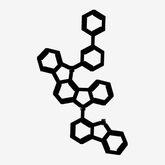 C1=C(c2ccccc2)CCC=C1n1c2ccccc2c2ccc3c(c4ccccc4n3-c3cccc4c3sc3ccccc34)c21